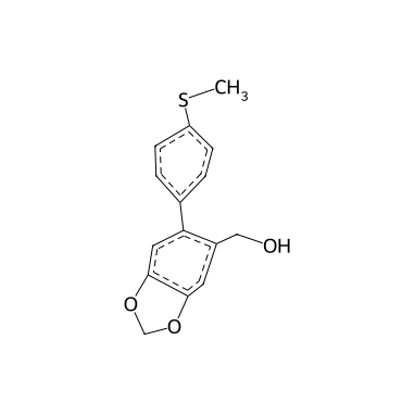 CSc1ccc(-c2cc3c(cc2CO)OCO3)cc1